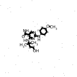 CO[C@H]1CC[C@H](Nc2ncc(C(N)=O)c(NC(C)(C)CCO)n2)CC1